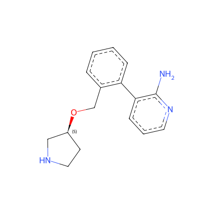 Nc1ncccc1-c1ccccc1CO[C@H]1CCNC1